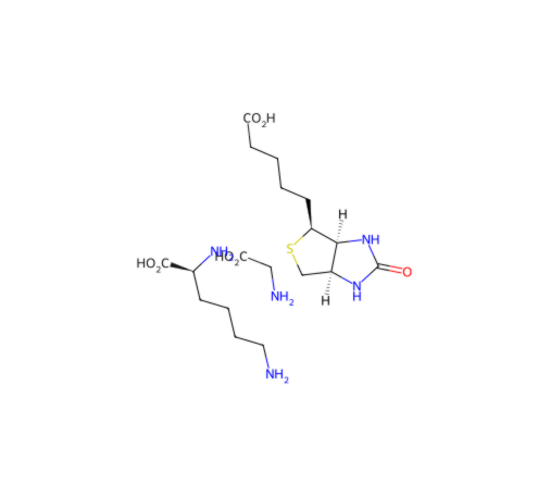 NCC(=O)O.NCCCC[C@H](N)C(=O)O.O=C(O)CCCC[C@@H]1SC[C@@H]2NC(=O)N[C@@H]21